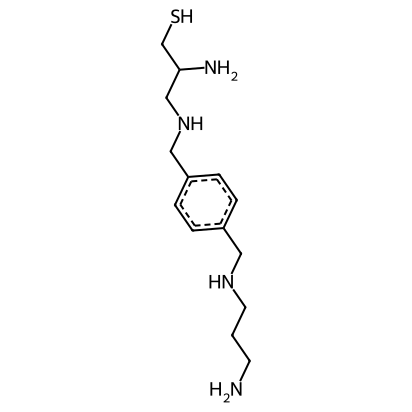 NCCCNCc1ccc(CNCC(N)CS)cc1